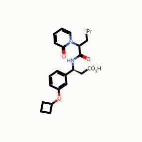 CC(C)CC(C(=O)N[C@@H](CC(=O)O)c1cccc(OC2CCC2)c1)n1ccccc1=O